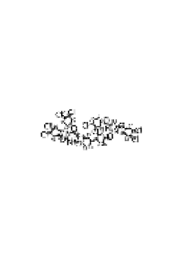 Clc1ccc(Oc2nc(Oc3ccc(-c4ccc(Oc5nc(Oc6ccc(Cl)c(Cl)c6)nc(Oc6ccc(Cl)c(Cl)c6)n5)cc4)cc3)nc(Oc3ccc(Cl)c(Cl)c3)n2)cc1Cl